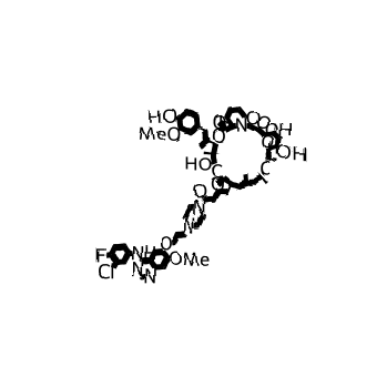 COc1cc2ncnc(Nc3ccc(F)c(Cl)c3)c2cc1OCCCN1CCN(C(=O)CCC[C@@H]2/C=C(\C)C[C@H](C)C[C@H](C)[C@H]3O[C@@](O)(C(=O)C(=O)N4CCCC[C@H]4C(=O)O[C@H](/C(C)=C/[C@@H]4CC[C@@H](O)[C@H](OC)C4)[C@H](C)[C@@H](O)CC2=O)[C@H](C)C[C@@H]3O)CC1